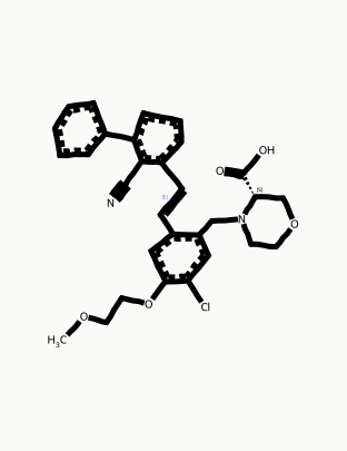 COCCOc1cc(/C=C/c2cccc(-c3ccccc3)c2C#N)c(CN2CCOC[C@H]2C(=O)O)cc1Cl